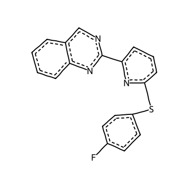 Fc1ccc(Sc2cccc(-c3ncc4ccccc4n3)n2)cc1